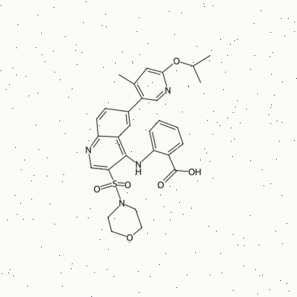 Cc1cc(OC(C)C)ncc1-c1ccc2ncc(S(=O)(=O)N3CCOCC3)c(Nc3ccccc3C(=O)O)c2c1